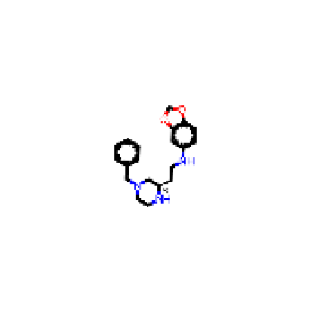 c1ccc(CN2CCN[C@H](CCNc3ccc4c(c3)OCO4)C2)cc1